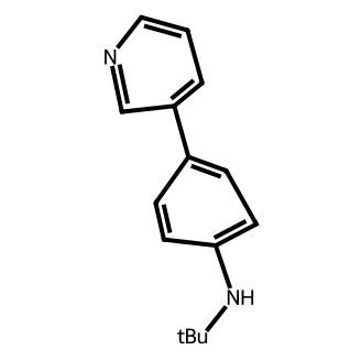 CC(C)(C)Nc1ccc(-c2cccnc2)cc1